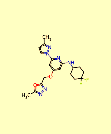 Cc1ccn(-c2cc(OCc3nnc(C)o3)cc(NC3CCC(F)(F)CC3)n2)n1